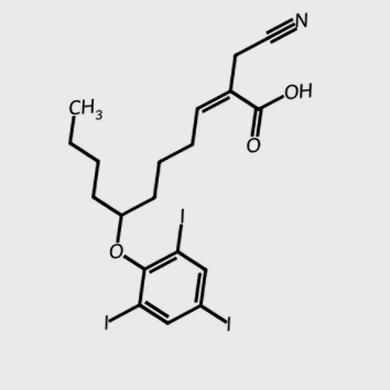 CCCCC(CCCC=C(CC#N)C(=O)O)Oc1c(I)cc(I)cc1I